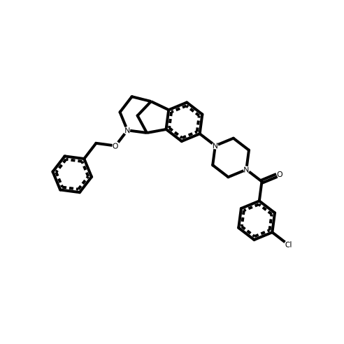 O=C(c1cccc(Cl)c1)N1CCN(c2ccc3c(c2)C2CC3CCN2OCc2ccccc2)CC1